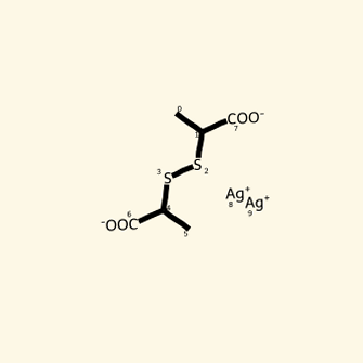 CC(SSC(C)C(=O)[O-])C(=O)[O-].[Ag+].[Ag+]